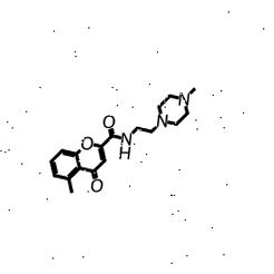 Cc1cccc2oc(C(=O)NCCN3CCN(C)CC3)cc(=O)c12